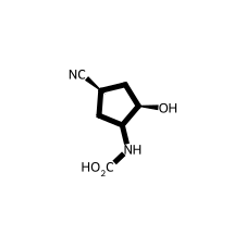 N#C[C@@H]1CC(NC(=O)O)[C@H](O)C1